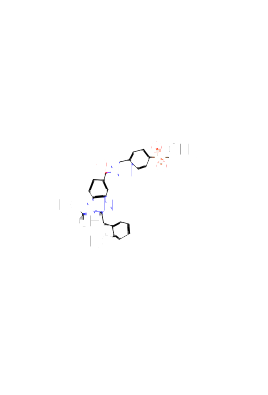 CCS(=O)(=O)c1ccc(CNC(=O)c2ccc3c(c2)nc(Cc2ccccc2C)n3C(C)C)cc1